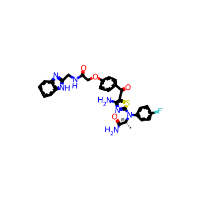 C[C@H](C(N)=O)N(c1ccc(F)cc1)c1nc(N)c(C(=O)c2ccc(OCC(=O)NCc3nc4ccccc4[nH]3)cc2)s1